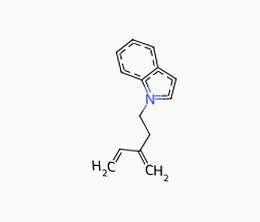 C=CC(=C)CCn1ccc2ccccc21